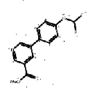 COC(=O)c1cncc(-c2ccc(OC(F)F)cc2)c1